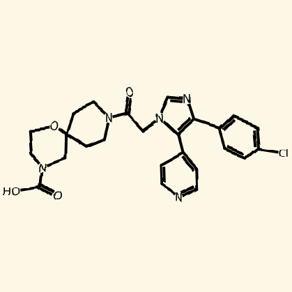 O=C(O)N1CCOC2(CCN(C(=O)Cn3cnc(-c4ccc(Cl)cc4)c3-c3ccncc3)CC2)C1